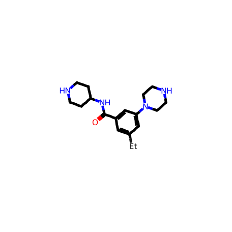 CCc1cc(C(=O)NC2CCNCC2)cc(N2CCNCC2)c1